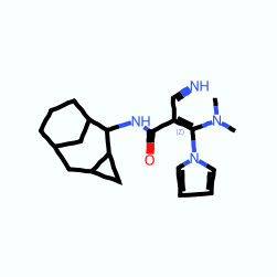 CN(C)/C(=C(\C=N)C(=O)NC1C2CCCC(CC3CC31)C2)n1cccc1